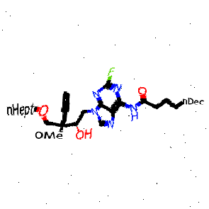 C#C[C@](COCCCCCCC)(OC)[C@@H](O)Cn1cnc2c(NC(=O)CCCCCCCCCCCCC)nc(F)nc21